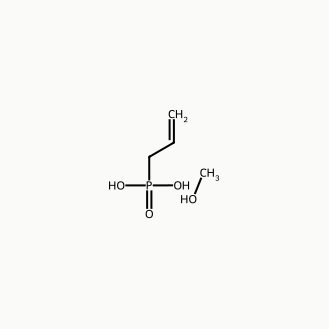 C=CCP(=O)(O)O.CO